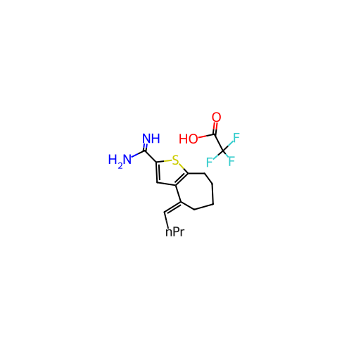 CCCC=C1CCCCc2sc(C(=N)N)cc21.O=C(O)C(F)(F)F